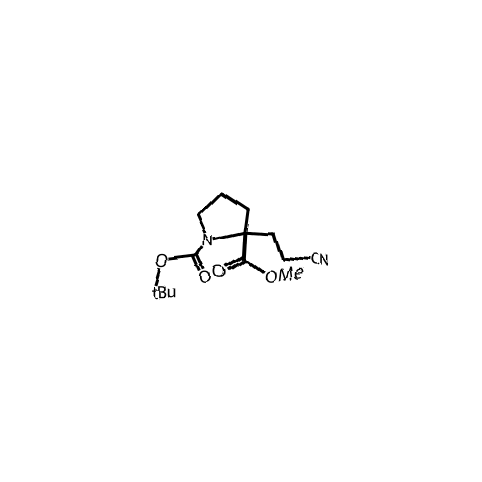 COC(=O)C1(CCC#N)CCCN1C(=O)OC(C)(C)C